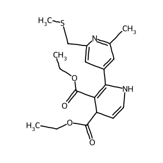 CCOC(=O)C1=C(c2cc(C)nc(CSC)c2)NC=CC1C(=O)OCC